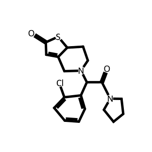 O=C1C=C2CN(C(C(=O)N3CCCC3)c3ccccc3Cl)CCC2S1